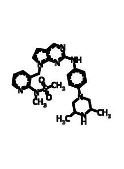 CC1CN(c2ccc(Nc3ncc4ccn(Cc5cccnc5N(C)S(C)(=O)=O)c4n3)cc2)CC(C)N1